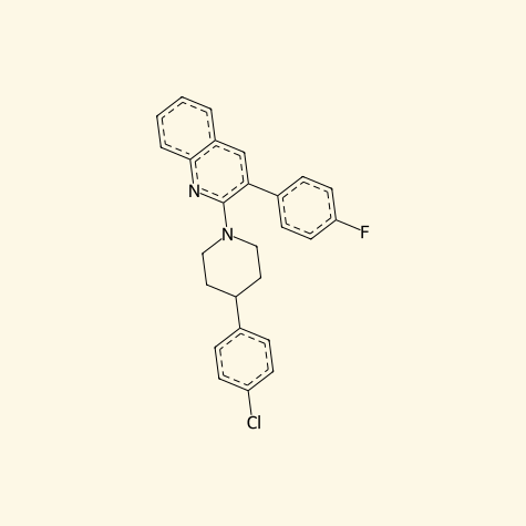 Fc1ccc(-c2cc3ccccc3nc2N2CCC(c3ccc(Cl)cc3)CC2)cc1